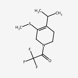 CSC1=C(C(C)C)CCN(C(=O)C(F)(F)F)C1